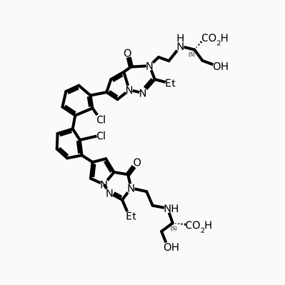 CCc1nn2cc(-c3cccc(-c4cccc(-c5cc6c(=O)n(CCN[C@@H](CO)C(=O)O)c(CC)nn6c5)c4Cl)c3Cl)cc2c(=O)n1CCN[C@@H](CO)C(=O)O